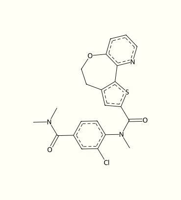 CN(C)C(=O)c1ccc(N(C)C(=O)c2cc3c(s2)-c2ncccc2OCC3)c(Cl)c1